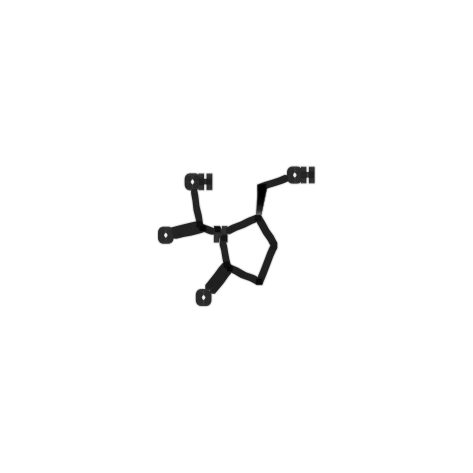 O=C(O)N1C(=O)CC[C@@H]1CO